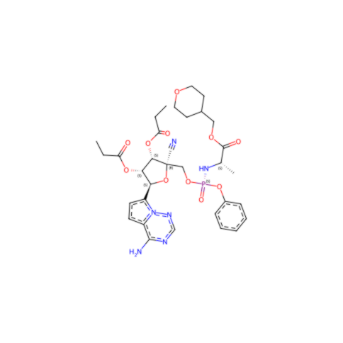 CCC(=O)O[C@H]1[C@H](c2ccc3c(N)ncnn23)O[C@](C#N)(CO[P@@](=O)(N[C@@H](C)C(=O)OCC2CCOCC2)Oc2ccccc2)[C@H]1OC(=O)CC